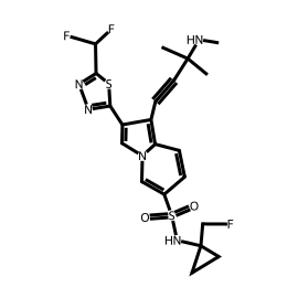 CNC(C)(C)C#Cc1c(-c2nnc(C(F)F)s2)cn2cc(S(=O)(=O)NC3(CF)CC3)ccc12